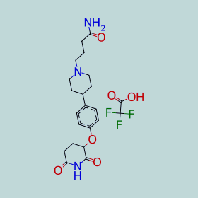 NC(=O)CCCN1CCC(c2ccc(OC3CCC(=O)NC3=O)cc2)CC1.O=C(O)C(F)(F)F